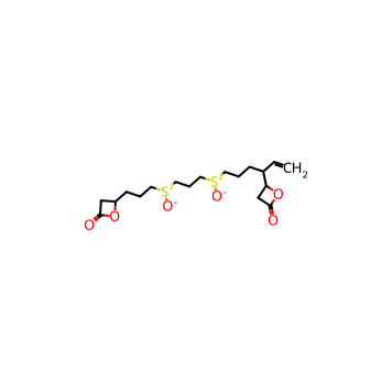 C=CC(CCC[S+]([O-])CCC[S+]([O-])CCCC1CC(=O)O1)C1CC(=O)O1